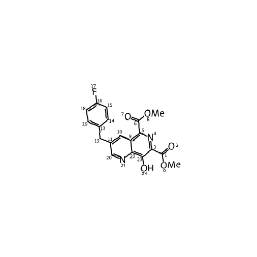 COC(=O)c1nc(C(=O)OC)c2cc(Cc3ccc(F)cc3)cnc2c1O